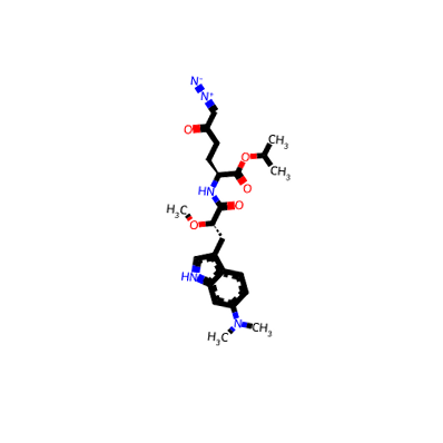 CO[C@@H](Cc1c[nH]c2cc(N(C)C)ccc12)C(=O)N[C@@H](CCC(=O)C=[N+]=[N-])C(=O)OC(C)C